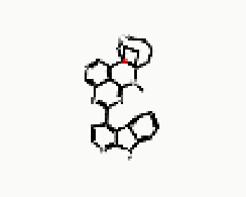 CN(c1nc(-c2ccnc3[nH]c4ccccc4c23)nc2cncc(C3CCC3)c12)C1CCCNCC1